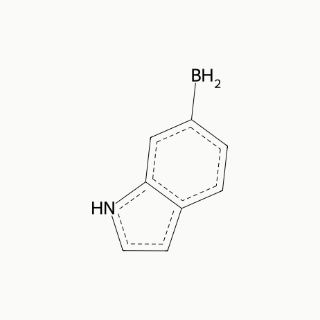 Bc1ccc2cc[nH]c2c1